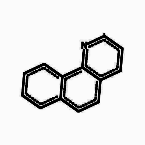 [c]1ccc2ccc3ccccc3c2n1